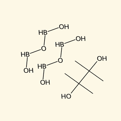 CC(C)(O)C(C)(C)O.OBOBO.OBOBO